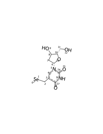 C[Se]Cc1cn([C@@H]2CC(O)[C@H](CO)O2)c(=O)[nH]c1=O